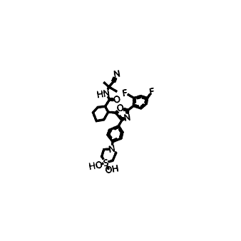 CC(C)(C#N)NC(=O)C1CCCCC1c1oc(-c2ccc(F)cc2F)nc1-c1ccc(N2CCS(O)(O)CC2)cc1